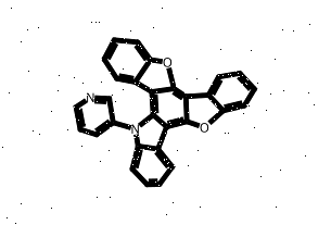 c1cncc(-n2c3ccccc3c3c4oc5ccccc5c4c4oc5ccccc5c4c32)c1